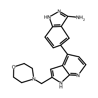 Nc1n[nH]c2ccc(-c3ccnc4[nH]c(CN5CCOCC5)cc34)cc12